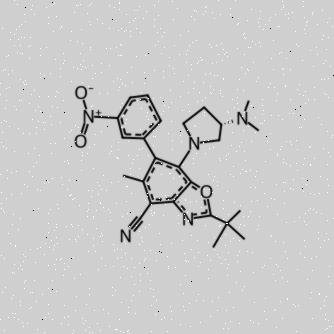 Cc1c(-c2cccc([N+](=O)[O-])c2)c(N2CC[C@H](N(C)C)C2)c2oc(C(C)(C)C)nc2c1C#N